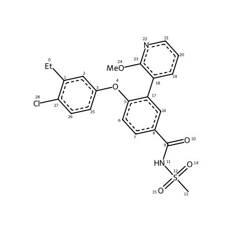 CCc1cc(Oc2ccc(C(=O)NS(C)(=O)=O)cc2-c2cccnc2OC)ccc1Cl